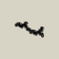 CC1(C)c2ccccc2-c2ccc(N(c3ccc4c5c(sc4c3)C=CCC5)c3ccc4c(c3)sc3ccc5c(oc6ccc7c(-c8ccc9cc(-c%10ccc(N(c%11ccccc%11)c%11ccc%12c(c%11)sc%11ccc%13c(oc%14ccc%15ccccc%15c%14%13)c%11%12)cc%10)ccc9c8)cccc7c65)c34)cc21